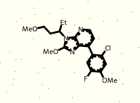 CCC(CCOC)n1c(OC)nc2c(-c3cc(F)c(OC)cc3Cl)ccnc21